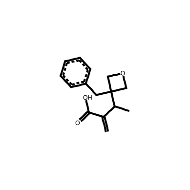 C=C(C(=O)O)C(C)C1(Cc2ccccc2)COC1